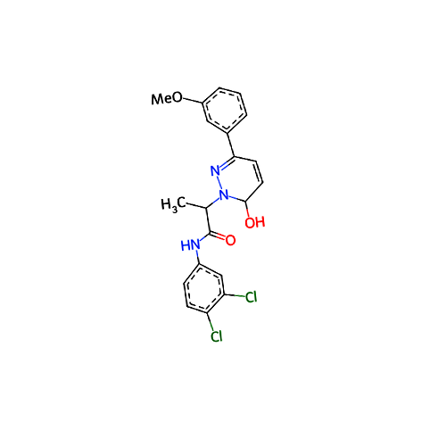 COc1cccc(C2=NN(C(C)C(=O)Nc3ccc(Cl)c(Cl)c3)C(O)C=C2)c1